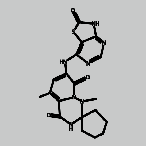 Cc1cc(Nc2ncnc3[nH]c(=O)sc23)c(=O)n2c1C(=O)NC1(CCCCC1)N2C